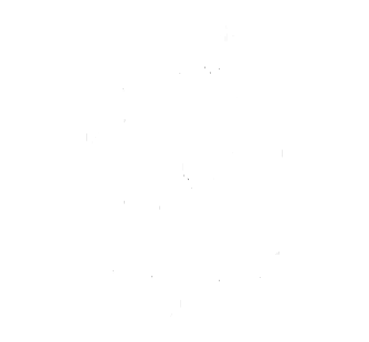 C=C(c1cn(CCC)c2ccc(C)cc12)C(Nc1cccc(C)c1)c1ccccc1